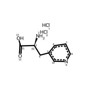 Cl.Cl.N[C@@H](Cc1cccnc1)C(=O)O